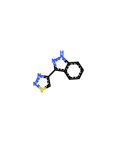 c1ccc2c(-c3csnn3)n[nH]c2c1